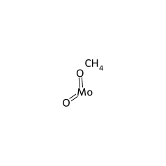 C.[O]=[Mo]=[O]